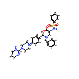 O=C(O)[C@H](CN(Cc1ccccc1)Cc1ccc(N2CCN(C3=NCCCN3)CC2)cc1)NS(=O)(=O)c1ccccc1